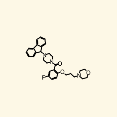 O=C(c1cc(F)ccc1OCCCN1CCOCC1)N1CCN(C2c3ccccc3-c3ccccc32)CC1